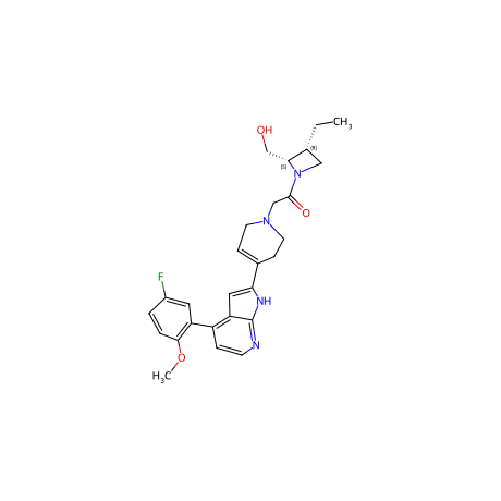 CC[C@@H]1CN(C(=O)CN2CC=C(c3cc4c(-c5cc(F)ccc5OC)ccnc4[nH]3)CC2)[C@@H]1CO